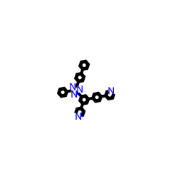 c1ccc(-c2ccc(-c3nc(-c4ccccc4)nc(-c4cc(-c5ccncc5)cc(-c5ccc(-c6cccnc6)cc5)c4)n3)cc2)cc1